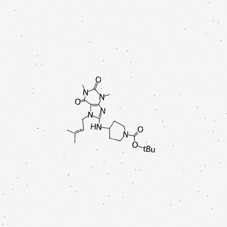 CC(C)=CCn1c(NC2CCN(C(=O)OC(C)(C)C)CC2)nc2c1c(=O)n(C)c(=O)n2C